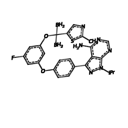 BC(B)(Oc1cc(F)cc(Oc2ccc(-c3nn(C(C)C)c4ncnc(N)c34)cc2)c1)c1cnc(C)s1